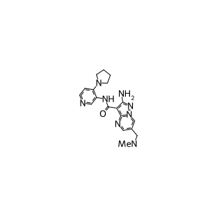 CNCc1cnc2c(C(=O)Nc3cnccc3N3CCCC3)c(N)nn2c1